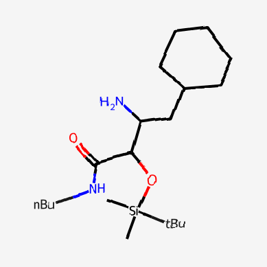 CCCCNC(=O)C(O[Si](C)(C)C(C)(C)C)C(N)CC1CCCCC1